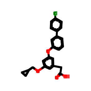 O=C(O)Cc1cc(OCC2CC2)cc(Oc2cccc(-c3ccc(Cl)cc3)c2)c1